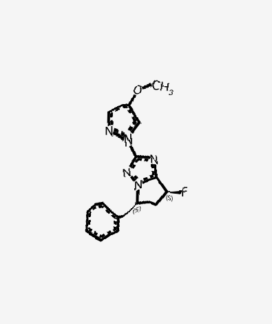 COc1cnn(-c2nc3n(n2)[C@H](c2ccccc2)C[C@@H]3F)c1